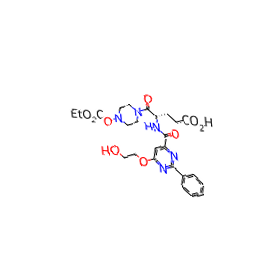 CCOC(=O)ON1CCN(C(=O)[C@H](CCC(=O)O)NC(=O)c2cc(OCCO)nc(-c3ccccc3)n2)CC1